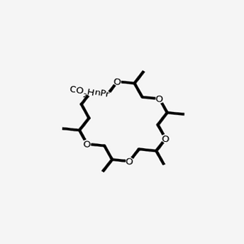 C[CH]COC(C)COC(C)COC(C)COC(C)COC(C)CCC(=O)O